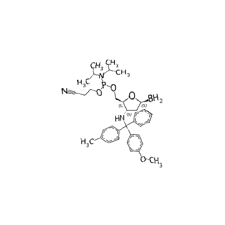 B[C@H]1C[C@H](NC(c2ccccc2)(c2ccc(C)cc2)c2ccc(OC)cc2)[C@@H](COP(OCCC#N)N(C(C)C)C(C)C)O1